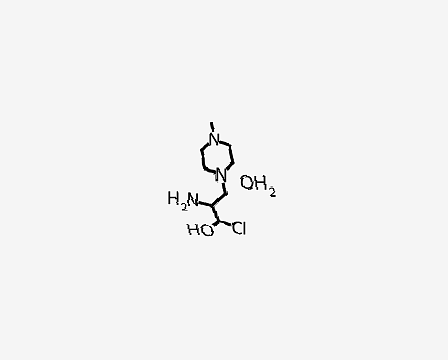 CN1CCN(CC(N)C(O)Cl)CC1.O